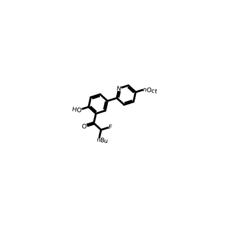 CCCCCCCCc1ccc(-c2ccc(O)c(C(=O)C(F)CCCC)c2)nc1